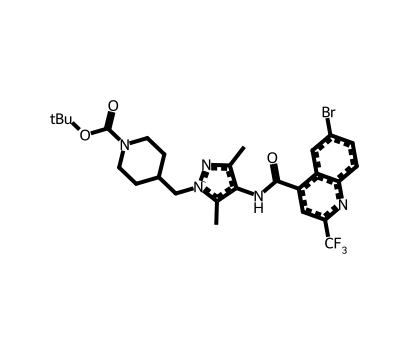 Cc1nn(CC2CCN(C(=O)OC(C)(C)C)CC2)c(C)c1NC(=O)c1cc(C(F)(F)F)nc2ccc(Br)cc12